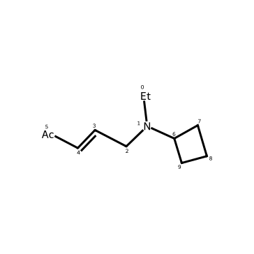 CCN(C/C=C/C(C)=O)C1CCC1